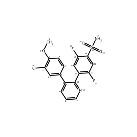 COc1ccc(-c2cccnc2-c2cc(F)c(S(N)(=O)=O)cc2F)cc1Cl